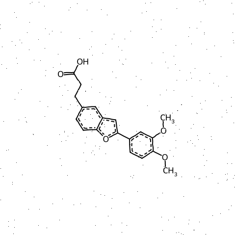 COc1ccc(-c2cc3cc(CCC(=O)O)ccc3o2)cc1OC